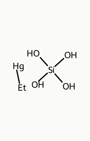 C[CH2][Hg].O[Si](O)(O)O